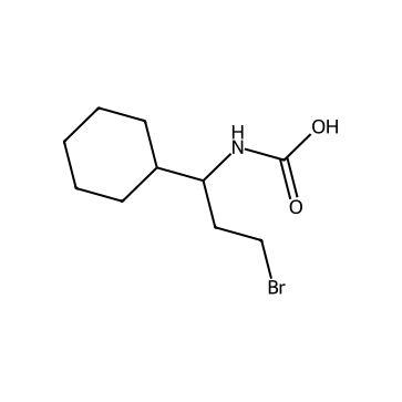 O=C(O)NC(CCBr)C1CCCCC1